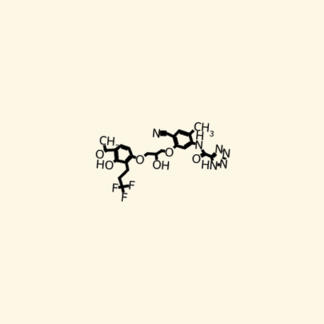 CC(=O)c1ccc(OCC(O)COc2cc(NC(=O)c3nnn[nH]3)c(C)cc2C#N)c(CCC(F)(F)F)c1O